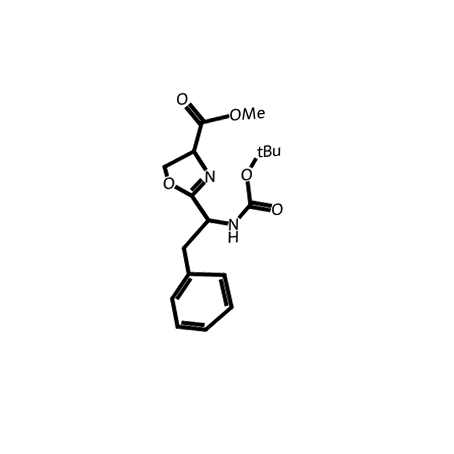 COC(=O)C1COC(C(Cc2ccccc2)NC(=O)OC(C)(C)C)=N1